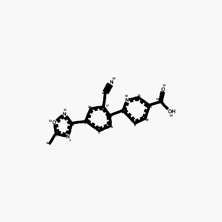 Cc1nc(-c2ccc(-c3ccc(C(=O)O)cn3)c(C#N)c2)no1